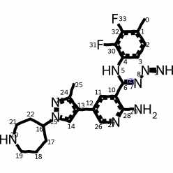 Cc1ccc(N/C(=N\N=N)c2cc(-c3cn(C4CCCNCC4)nc3C)cnc2N)c(F)c1F